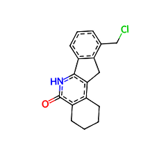 O=c1[nH]c2c(c3c1CCCC3)Cc1c(CCl)cccc1-2